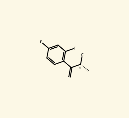 C=C(c1ccc(F)cc1F)[C@@H](C)Cl